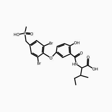 CCC(C)C(NC(=O)c1cc(Oc2c(Br)cc(CP(C)(=O)O)cc2Br)ccc1O)C(=O)O